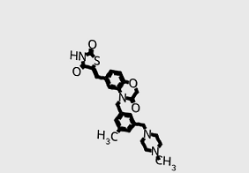 Cc1cc(CN2CCN(C)CC2)cc(CN2C(=O)COc3ccc(/C=C4\SC(=O)NC4=O)cc32)c1